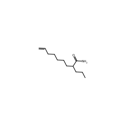 C=CCCCCCC(CCC)C(N)=O